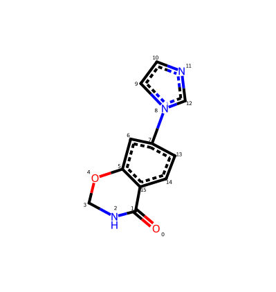 O=C1NCOc2cc(-n3ccnc3)ccc21